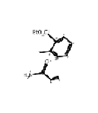 C=CC(N)=O.CCOC(=O)c1ccccc1C